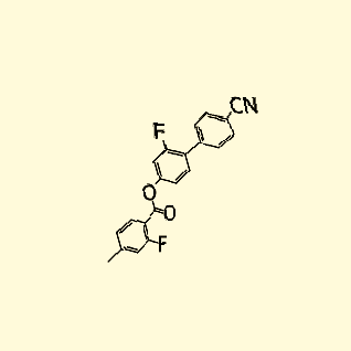 Cc1ccc(C(=O)Oc2ccc(-c3ccc(C#N)cc3)c(F)c2)c(F)c1